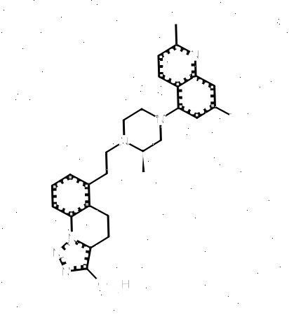 Cc1ccc2c(N3CCN(CCc4cccc5c4CCc4c(C(=O)O)nnn4-5)[C@H](C)C3)cc(F)cc2n1